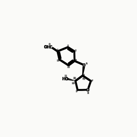 O=Cc1ccc(O[C@H]2COC[C@@H]2O)cc1